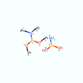 CC(C)OP(OC(C)C)N(C(C)C)C(C)C.NP(O)O